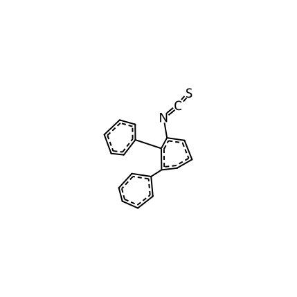 S=C=Nc1cccc(-c2ccccc2)c1-c1ccccc1